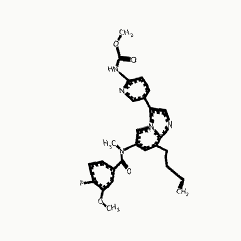 C=CCCc1cc(N(C)C(=O)c2ccc(F)c(OC)c2)cn2c(-c3ccc(NC(=O)OC)nc3)cnc12